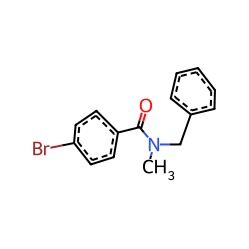 CN(Cc1ccccc1)C(=O)c1ccc(Br)cc1